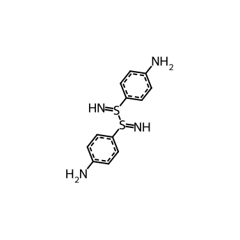 N=S(c1ccc(N)cc1)S(=N)c1ccc(N)cc1